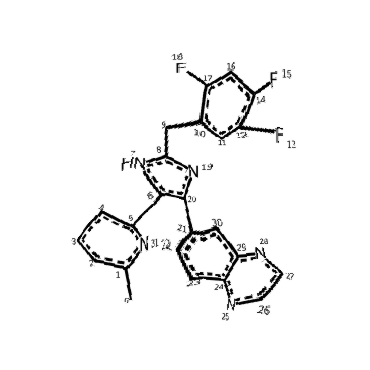 Cc1cccc(-c2[nH]c(Cc3cc(F)c(F)cc3F)nc2-c2ccc3nccnc3c2)n1